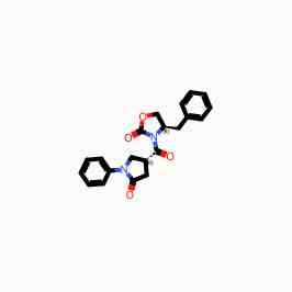 O=C1C[C@@H](C(=O)N2C(=O)OC[C@H]2Cc2ccccc2)CN1c1ccccc1